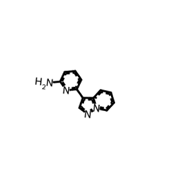 Nc1cccc(-c2cnn3ccccc23)n1